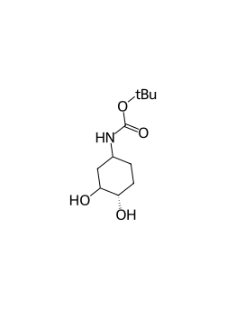 CC(C)(C)OC(=O)NC1CC[C@H](O)C(O)C1